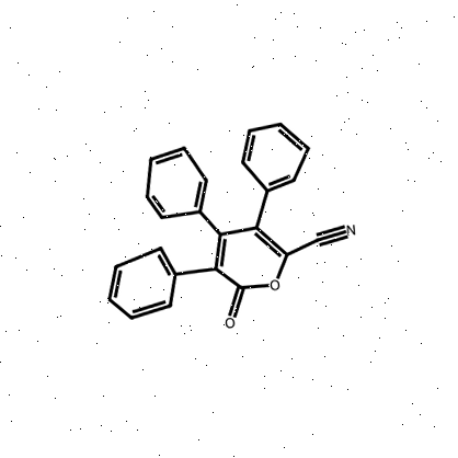 N#Cc1oc(=O)c(-c2ccccc2)c(-c2ccccc2)c1-c1ccccc1